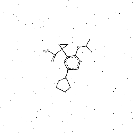 CC(C)Oc1ncc(N2CCCC2)cc1C1(C(N)=O)CC1